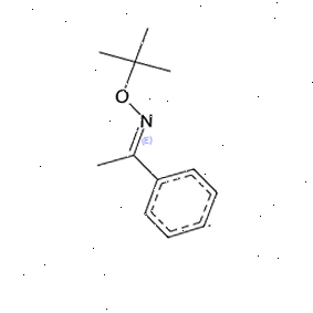 C/C(=N\OC(C)(C)C)c1cc[c]cc1